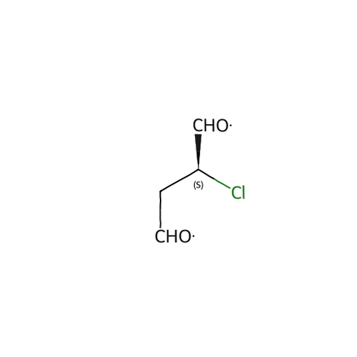 O=[C]C[C@H](Cl)[C]=O